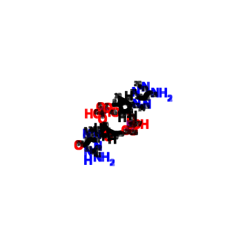 CO[C@H]1[C@H]2OP(=O)(O)OCC34C[C@@H]3[C@@H](n3cnc5c(N)ncnc53)[C@H](OP(=O)(O)OC[C@H]1O[C@H]2n1cnc2c(=O)[nH]c(N)nc21)[C@@H]4O